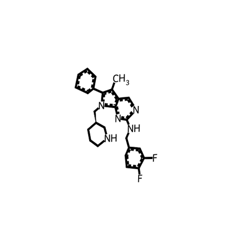 Cc1c(-c2ccccc2)n(C[C@@H]2CCCNC2)c2nc(NCc3ccc(F)c(F)c3)ncc12